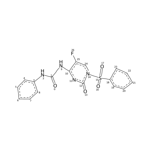 O=C(Nc1ccccc1)Nc1nc(=O)n(S(=O)(=O)c2ccccc2)cc1F